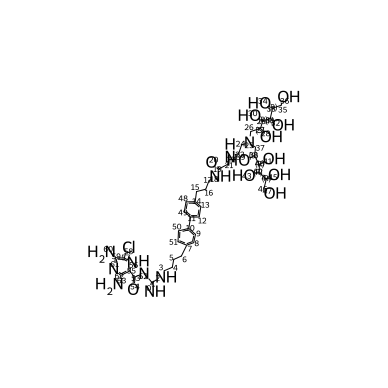 N=C(NCCCCc1ccc(-c2ccc(CCCNC(=O)CNCCN(C[C@H](O)[C@@H](O)[C@H](O)[C@H](O)CO)C[C@H](O)[C@@H](O)[C@H](O)[C@H](O)CO)cc2)cc1)NC(=O)c1nc(Cl)c(N)nc1N